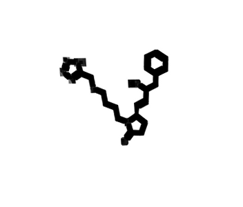 O=C1CC[C@H](C=CC(O)Cc2ccccc2)N1CCCCSCc1nnn[nH]1